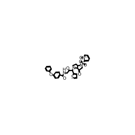 O=C(NCC(=O)C(c1cccs1)N1CCC2C1C(=O)CN2S(=O)(=O)c1cccc[n+]1[O-])c1ccc(Oc2ccccc2)cc1